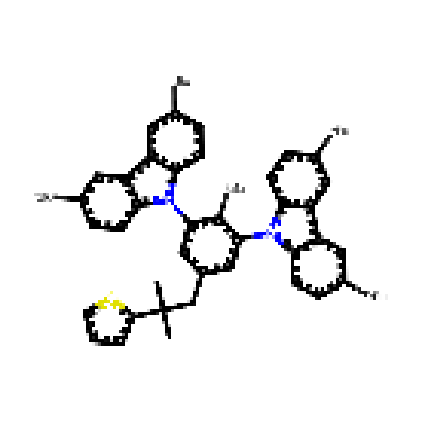 CC(C)(C)c1ccc2c(c1)c1cc(C(C)(C)C)ccc1n2-c1cc(CC(C)(C)c2cccs2)cc(-n2c3ccc(C(C)(C)C)cc3c3cc(C(C)(C)C)ccc32)c1C(C)(C)C